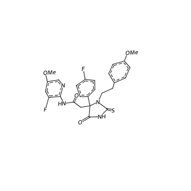 COc1ccc(CCN2C(=S)NC(=O)C2(CC(=O)Nc2ncc(OC)cc2F)c2ccc(F)cc2)cc1